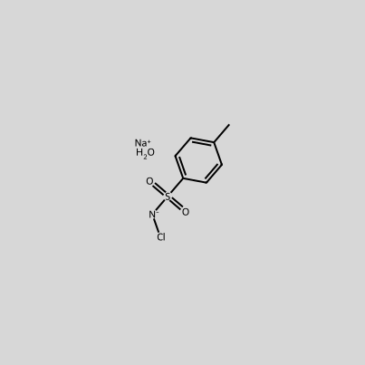 Cc1ccc(S(=O)(=O)[N-]Cl)cc1.O.[Na+]